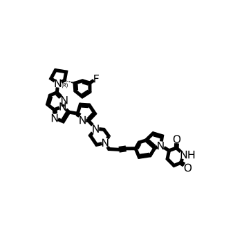 O=C1CCC(n2ccc3cc(C#CCN4CCN(c5cccc(-c6cnc7ccc(N8CCC[C@@H]8c8cccc(F)c8)nn67)n5)CC4)ccc32)C(=O)N1